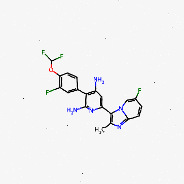 Cc1nc2ccc(F)cn2c1-c1cc(N)c(-c2ccc(OC(F)F)c(F)c2)c(N)n1